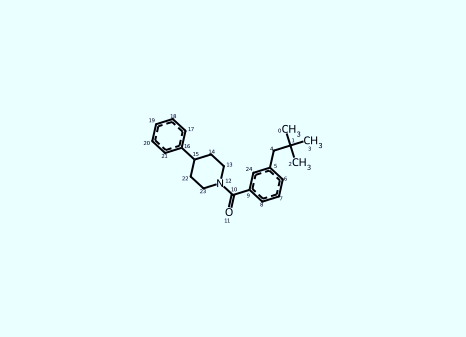 CC(C)(C)Cc1cccc(C(=O)N2CCC(c3ccccc3)CC2)c1